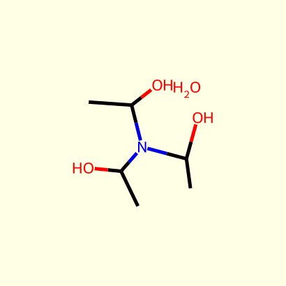 CC(O)N(C(C)O)C(C)O.O